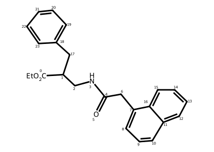 CCOC(=O)C(CNC(=O)Cc1cccc2ccccc12)Cc1ccccc1